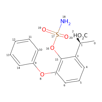 C[C@H](C(=O)O)c1cccc(Oc2ccccc2)c1OS(N)(=O)=O